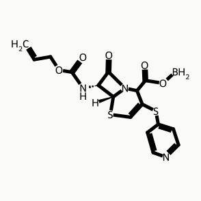 BOC(=O)C1C(Sc2ccncc2)=CS[C@@H]2[C@H](NC(=O)OCC=C)C(=O)N12